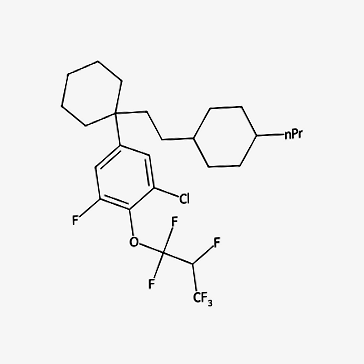 CCCC1CCC(CCC2(c3cc(F)c(OC(F)(F)C(F)C(F)(F)F)c(Cl)c3)CCCCC2)CC1